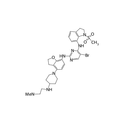 CNCCNC1CCN(c2ccc(Nc3ncc(Br)c(Nc4cccc5c4N(S(C)(=O)=O)CC5)n3)c3c2CCO3)CC1